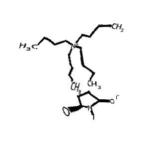 CCCC[N+](CCCC)(CCCC)CCCC.O=C1CCC(=O)N1I.[I-]